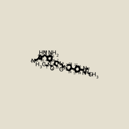 CCN(C(=O)[C@@H]1CCN(CC(=O)N2CC=C(c3ccc(-c4ncn(C)n4)cc3)CC2)C1)c1ccc(N)c(C(=N)C23CC(C#N)(C2)C3)c1